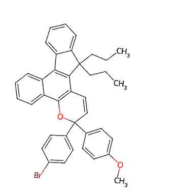 CCCC1(CCC)c2ccccc2-c2c1c1c(c3ccccc23)OC(c2ccc(Br)cc2)(c2ccc(OC)cc2)C=C1